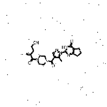 C=C(CCC#N)C(=O)N1CCN(C(=O)c2cnn(-c3nc4c(c(=O)[nH]3)CCC4)c2C)CC1